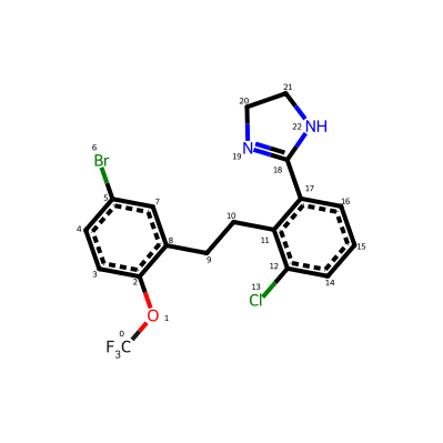 FC(F)(F)Oc1ccc(Br)cc1CCc1c(Cl)cccc1C1=NCCN1